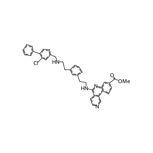 COC(=O)c1ccc2c(c1)nc(NCCc1cccc(CCNCc3ccc(-c4ccccc4)c(Cl)c3)c1)c1ccncc12